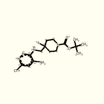 CC(C)(C)OC(=O)N1CCC(F)(CNc2nnc(Cl)cc2N)CC1